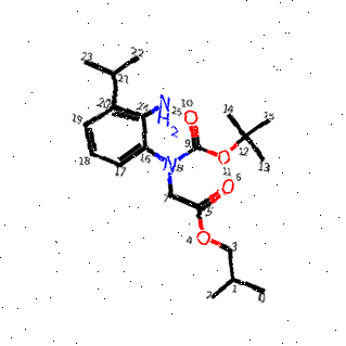 CC(C)COC(=O)CN(C(=O)OC(C)(C)C)c1cccc(C(C)C)c1N